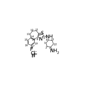 NC1CCC(Nc2nc3c(s2)CCCc2ccc(F)cc2-3)CC1.[Cl-].[H+]